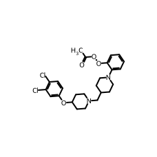 CC(=O)OOc1ccccc1N1CCC(CN2CCC(Oc3ccc(Cl)c(Cl)c3)CC2)CC1